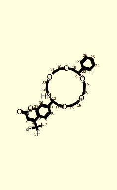 O=c1cc(C(F)(F)F)c2ccc(C3COCCOCCOC(c4ccccc4)COCCOCCN3)cc2o1